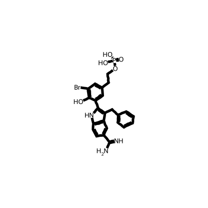 N=C(N)c1ccc2[nH]c(-c3cc(CCOP(=O)(O)O)cc(Br)c3O)c(Cc3ccccc3)c2c1